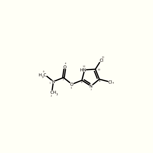 CN(C)C(=O)Oc1nc(Cl)c(Cl)[nH]1